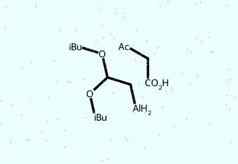 CC(=O)CC(=O)O.CCC(C)OC([CH2][AlH2])OC(C)CC